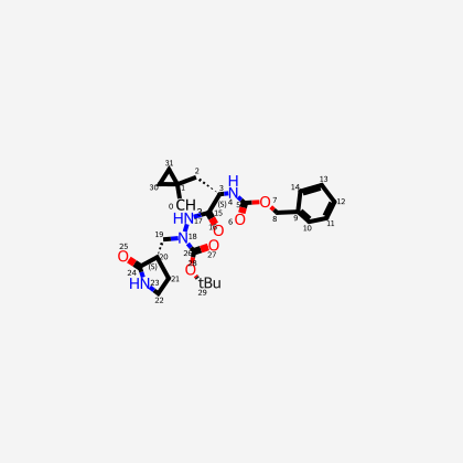 CC1(C[C@H](NC(=O)OCc2ccccc2)C(=O)NN(C[C@@H]2CCNC2=O)C(=O)OC(C)(C)C)CC1